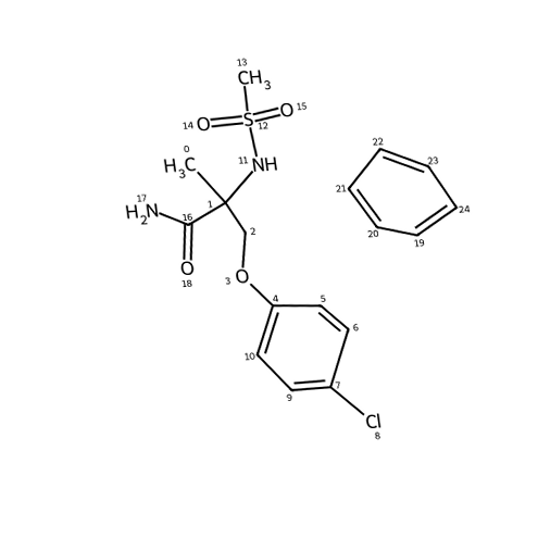 CC(COc1ccc(Cl)cc1)(NS(C)(=O)=O)C(N)=O.c1ccccc1